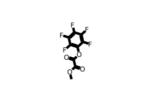 COC(=O)C(=O)Oc1c(F)c(F)c(F)c(F)c1F